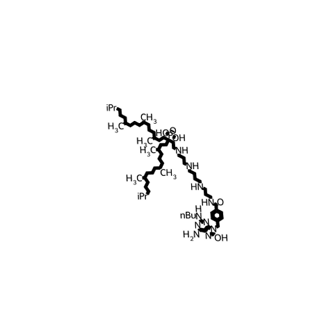 CCCCNc1nc(N)c2nc(O)n(Cc3ccc(C(=O)NCCCNCCCCNCCCNCCC(CCC(C)CCCC(C)CCCC(C)CCCC(C)C)(CCC(C)CCCC(C)CCCC(C)CCCC(C)C)P(=O)(O)O)cc3)c2n1